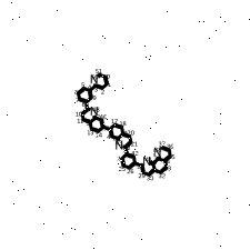 c1ccc(-c2cccc(-c3ccc4ccc(-c5ccc6ccc(-c7cccc(-c8ccc9ccc%10cccnc%10c9n8)c7)nc6c5)cc4n3)c2)nc1